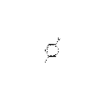 C[CH]c1ccc(Br)cc1